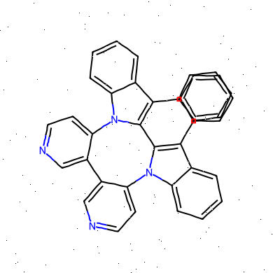 c1ccc(-c2c3ccccc3n3c4ccncc4c4cnccc4n4c5ccccc5c(-c5ccccc5)c4c23)cc1